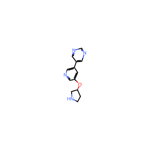 c1ncc(-c2cncc(O[C@H]3CCNC3)c2)cn1